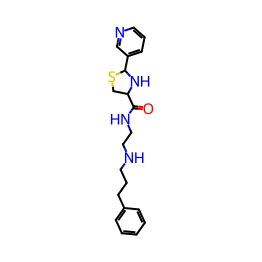 O=C(NCCNCCCc1ccccc1)C1CSC(c2cccnc2)N1